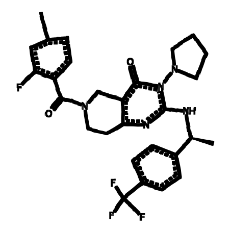 Cc1ccc(C(=O)N2CCc3nc(N[C@@H](C)c4ccc(C(F)(F)F)cc4)n(N4CCCC4)c(=O)c3C2)c(F)c1